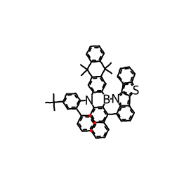 CC(C)(C)c1ccc(N2c3cc4c(cc3B3c5c2cc2ccccc2c5-c2cccc5c6sc7ccccc7c6n3c25)C(C)(C)c2ccccc2C4(C)C)c(-c2ccccc2)c1